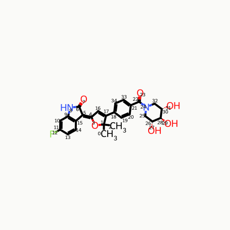 CC1(C)O/C(=C2/C(=O)Nc3cc(F)ccc32)C=C1c1ccc(C(=O)N2C[C@@H](O)[C@H](O)[C@@H](O)C2)cc1